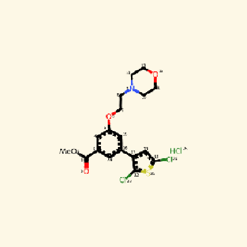 COC(=O)c1cc(OCCN2CCOCC2)cc(-c2cc(Cl)sc2Cl)c1.Cl